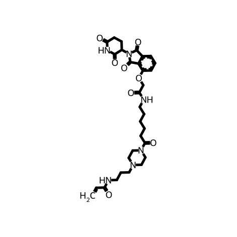 C=CC(=O)NCCCN1CCN(C(=O)CCCCCNC(=O)COc2cccc3c2C(=O)N(C2CCC(=O)NC2=O)C3=O)CC1